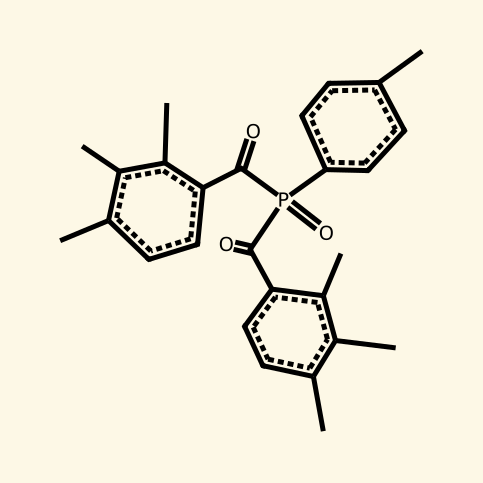 Cc1ccc(P(=O)(C(=O)c2ccc(C)c(C)c2C)C(=O)c2ccc(C)c(C)c2C)cc1